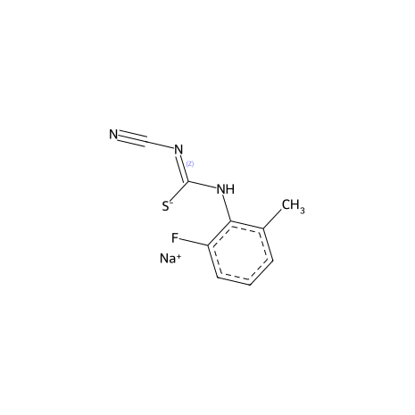 Cc1cccc(F)c1N/C([S-])=N/C#N.[Na+]